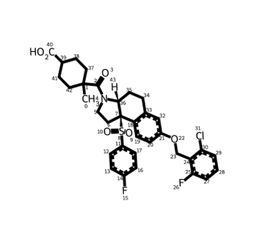 CC1(C(=O)N2CC[C@@]3(S(=O)(=O)c4ccc(F)cc4)c4ccc(OCc5c(F)cccc5Cl)cc4CC[C@@H]23)CCC(C(=O)O)CC1